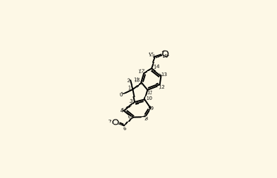 CC1(C)c2cc(C=O)ccc2-c2ccc(C=O)cc21